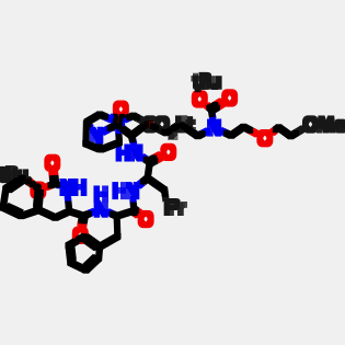 CCOC(=O)CN1CC2CC(C1)N2C(=O)C(CCCCN(CCOCCOC)C(=O)OC(C)(C)C)NC(=O)C(CC(C)C)NC(=O)C(Cc1ccccc1)NC(=O)C(Cc1ccccc1)NC(=O)OC(C)(C)C